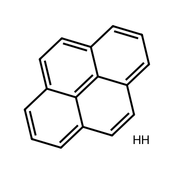 [HH].c1cc2ccc3cccc4ccc(c1)c2c34